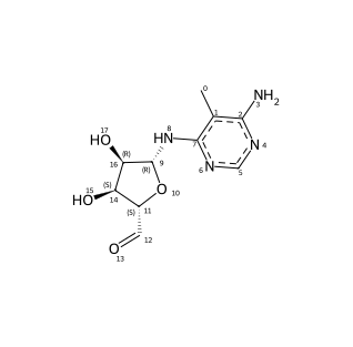 Cc1c(N)ncnc1N[C@@H]1O[C@H](C=O)[C@@H](O)[C@H]1O